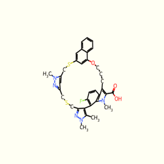 Cc1c2c(nn1C)CSCc1cc(n(C)n1)CSc1cc(c3ccccc3c1)OCCCc1c(C(=O)O)n(C)c3c-2c(F)ccc13